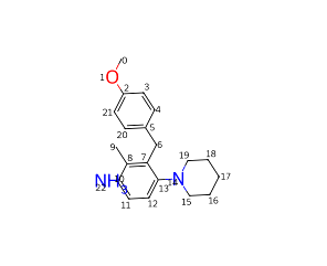 COc1ccc(Cc2c(C)cccc2N2CCCCC2)cc1.N